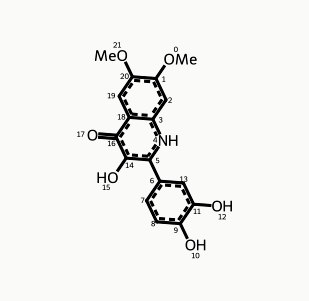 COc1cc2[nH]c(-c3ccc(O)c(O)c3)c(O)c(=O)c2cc1OC